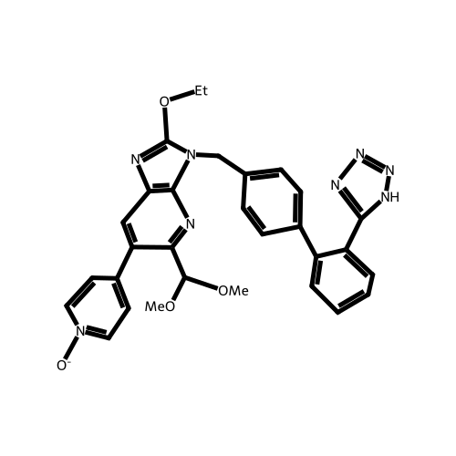 CCOc1nc2cc(-c3cc[n+]([O-])cc3)c(C(OC)OC)nc2n1Cc1ccc(-c2ccccc2-c2nnn[nH]2)cc1